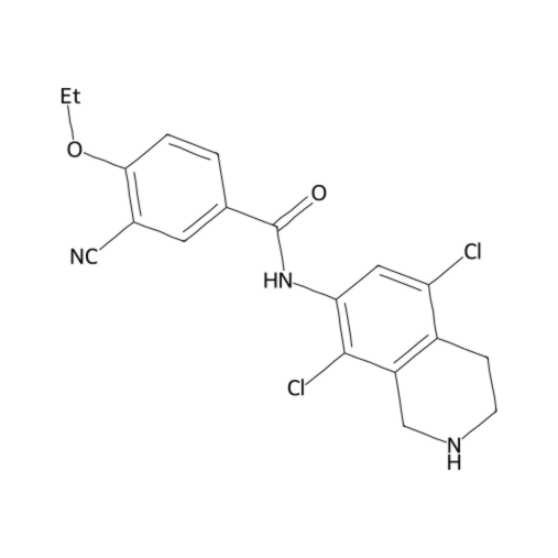 CCOc1ccc(C(=O)Nc2cc(Cl)c3c(c2Cl)CNCC3)cc1C#N